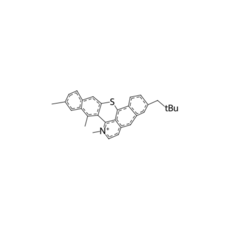 Cc1ccc2cc3c(c(C)c2c1)-c1c2c(c4ccc(CC(C)(C)C)cc4cc2cc[n+]1C)S3